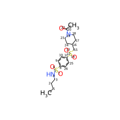 CCCCNS(=O)(=O)c1ccc(S(=O)(=O)CC2CCN(C(C)=O)CC2)cc1